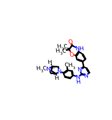 Cc1cc(Nc2nccc(-c3ccc4c(c3)OC(C)(C)C(=O)N4)n2)ccc1N1C[C@@H]2C[C@H]1CN2C